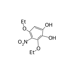 CCOc1cc(O)c(O)c(OCC)c1[N+](=O)[O-]